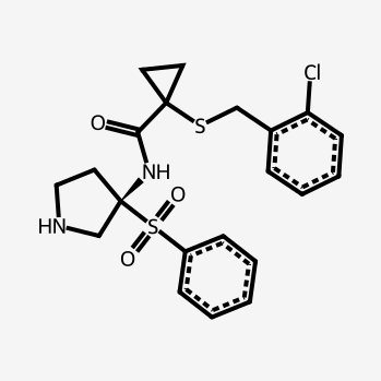 O=C(N[C@]1(S(=O)(=O)c2ccccc2)CCNC1)C1(SCc2ccccc2Cl)CC1